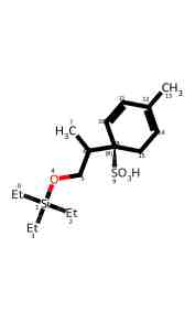 CC[Si](CC)(CC)OCC(C)[C@]1(S(=O)(=O)O)C=CC(C)=CC1